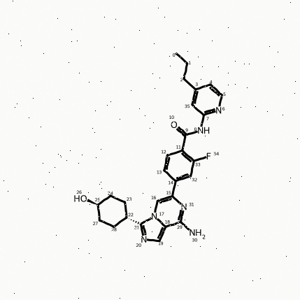 CCCc1ccnc(NC(=O)c2ccc(-c3cn4c(cnc4[C@H]4CC[C@H](O)CC4)c(N)n3)cc2F)c1